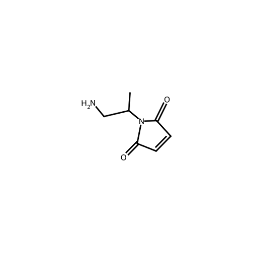 CC(CN)N1C(=O)C=CC1=O